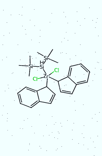 C[Si](C)(C)[SiH]([Si](C)(C)C)[Zr]([Cl])([Cl])([CH]1C=Cc2ccccc21)[CH]1C=Cc2ccccc21